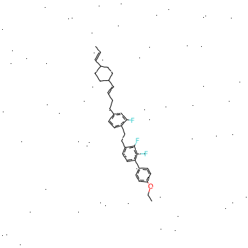 C/C=C/C1CCC(/C=C/CCc2ccc(CCc3ccc(-c4ccc(OCC)cc4)c(F)c3F)c(F)c2)CC1